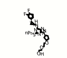 CCCSc1nc(N[C@@H]2C[C@H]2c2ccc(F)c(F)c2)c2nnn([C@H]3CC[C@@H](OCCOCCO)C3)c2n1